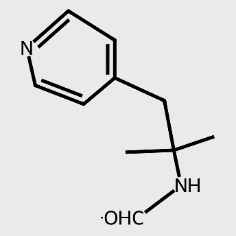 CC(C)(Cc1ccncc1)N[C]=O